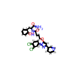 NC(=O)C(Cc1ccccc1O)NC(=O)CCCOc1cc(-c2cccnc2)nn1-c1ccc(Cl)c(Cl)c1